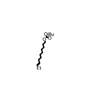 CC/C=C/CCCCCCCCOC(=O)OCC(C)C